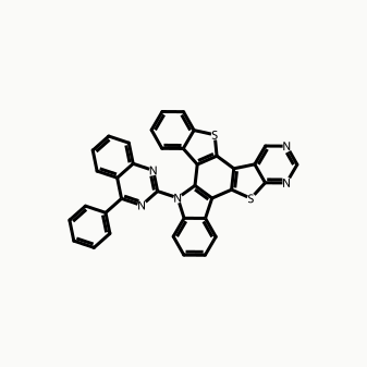 c1ccc(-c2nc(-n3c4ccccc4c4c5sc6ncncc6c5c5sc6ccccc6c5c43)nc3ccccc23)cc1